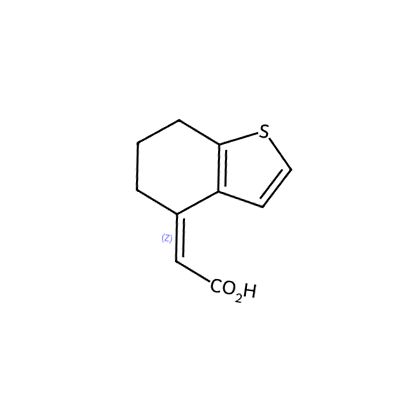 O=C(O)/C=C1/CCCc2sccc21